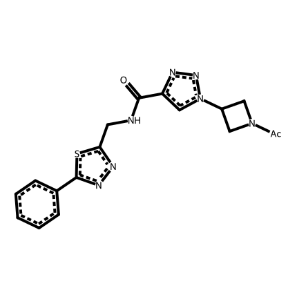 CC(=O)N1CC(n2cc(C(=O)NCc3nnc(-c4ccccc4)s3)nn2)C1